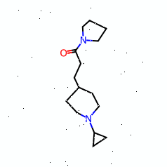 O=C([CH]CC1CCN(C2CC2)CC1)N1CCCC1